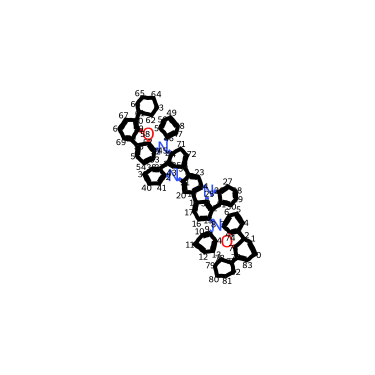 C1=CC2c3cccc(N(c4ccccc4)c4ccc5c6cc7c(cc6n6c8ccccc8c4c56)c4c5c(c6ccccc6n57)C(N(c5ccccc5)c5cccc6c5oc5c(C7CCCCC7)cccc56)CC=4)c3OC2C(C2CCCCC2)=C1